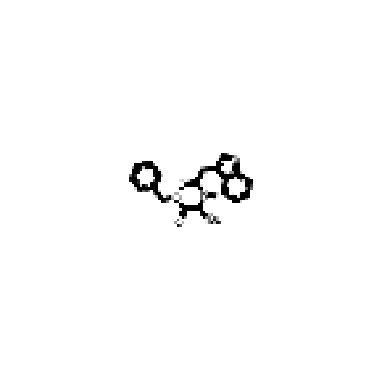 CCC(C)C(C(=O)OCc1ccccc1)N(C)C(=O)Cc1csc2ccccc12